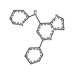 c1ccc(-c2cc(Nc3ccccn3)c3nccn3n2)cc1